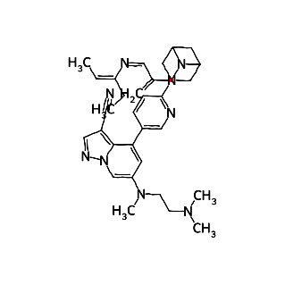 C=C(/C=N\C(=C/C)CC)CN1C2CC1CN(c1ccc(-c3cc(N(C)CCN(C)C)cn4ncc(C#N)c34)cn1)C2